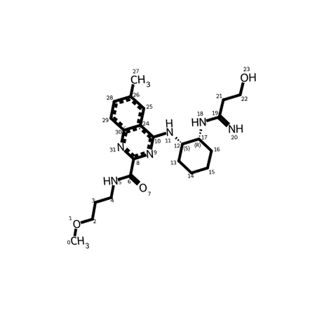 COCCCNC(=O)c1nc(N[C@H]2CCCC[C@H]2NC(=N)CCO)c2cc(C)ccc2n1